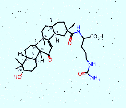 CC1(C)[C@@H](O)CC[C@]2(C)[C@H]3C(=O)C=C4[C@@H]5C[C@@](C)(C(=O)NC(CCCNC(N)=O)C(=O)O)CC[C@]5(C)CC[C@@]4(C)[C@]3(C)CC[C@@H]12